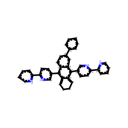 C1=c2c(-c3ccc(-c4ccccn4)nc3)c3ccc(-c4ccccc4)cc3c(-c3ccc(-c4ccccn4)nc3)c2=CCC1